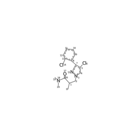 CC(Cn1cc(Cl)c(-c2ccccc2Cl)n1)C(=O)N(C)C